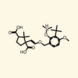 COc1ccc(COC=CC2(C(=O)O)CCC(C(=O)O)C2(C)C)c(O[SiH](C)C)c1C(C)(C)C